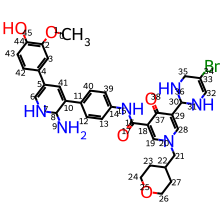 COc1cc(C2=CNC(N)C(c3ccc(NC(=O)c4cn(CC5CCOCC5)cc(C5NC=C(Br)CN5)c4=O)cc3)=C2)ccc1O